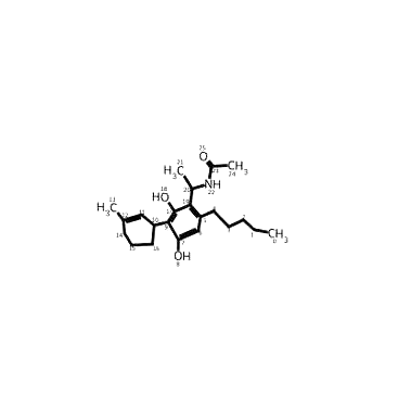 CCCCCc1cc(O)c(C2C=C(C)CCC2)c(O)c1C(C)NC(C)=O